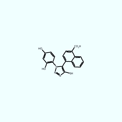 O=C(O)c1ccc(-c2c(S)nnn2-c2ccc(O)cc2O)c2ccccc12